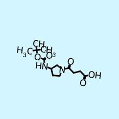 CC(C)(C)OC(=O)NC1CCN(C(=O)CCC(=O)O)C1